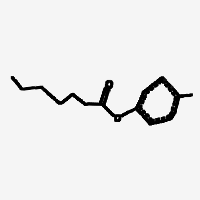 CCCCCCC(=O)Oc1ccc(C)cc1